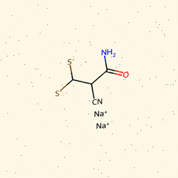 N#CC(C(N)=O)C([S-])[S-].[Na+].[Na+]